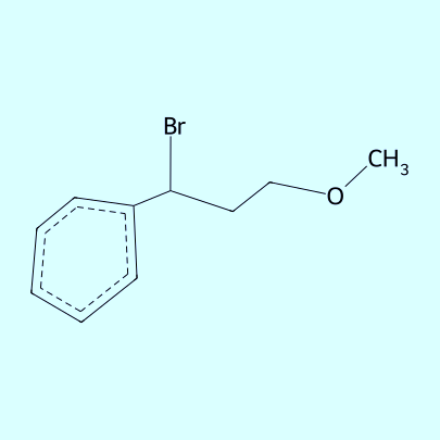 COCCC(Br)c1ccccc1